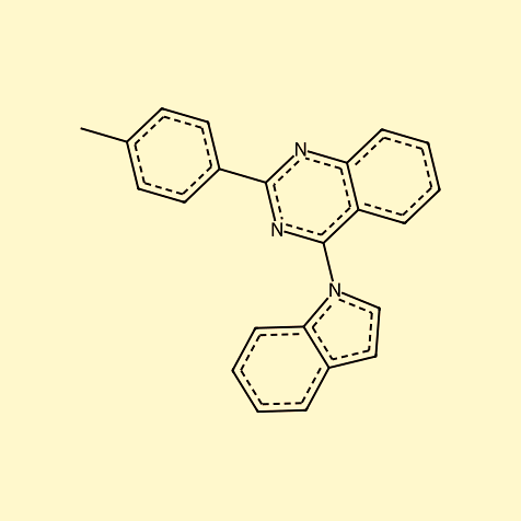 Cc1ccc(-c2nc(-n3ccc4ccccc43)c3ccccc3n2)cc1